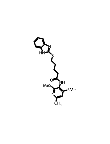 CSc1cc(C)nc(SC)c1NC(=O)CCCCSc1nc2ccccc2[nH]1